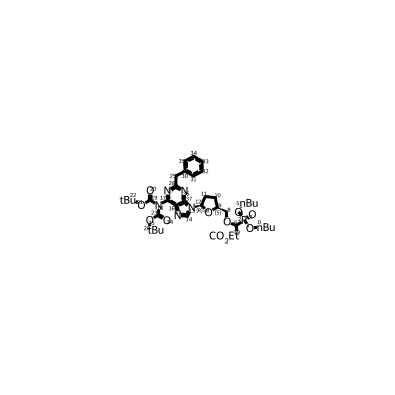 CCCCOP(=O)(OCCCC)C(OC[C@@H]1CC[C@H](n2cnc3c(N(C(=O)OC(C)(C)C)C(=O)OC(C)(C)C)nc(Cc4ccccc4)nc32)O1)C(=O)OCC